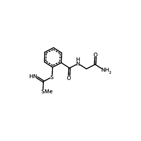 CSC(=N)Sc1ccccc1C(=O)NCC(N)=O